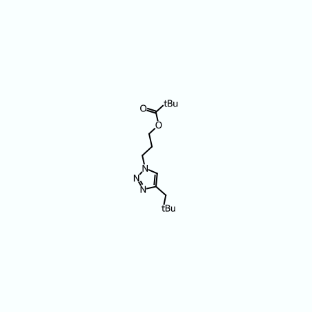 CC(C)(C)Cc1cn(CCCOC(=O)C(C)(C)C)nn1